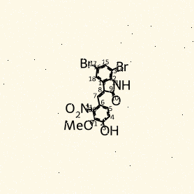 COc1c(O)ccc(C=C2C(=O)Nc3c(Br)cc(Br)cc32)c1[N+](=O)[O-]